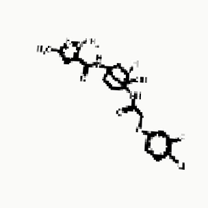 Cc1cc(C(=O)NC23CCC(NC(=O)COc4ccc(Cl)c(F)c4)(CC2)[C@@H](O)C3)n(C)n1